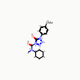 COc1ccc(-n2nnn(C(=O)N(C)C3CCCCC3)c2=O)cc1